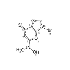 CN(O)c1cc(=S)c2scc(Br)c2o1